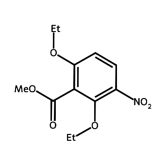 CCOc1ccc([N+](=O)[O-])c(OCC)c1C(=O)OC